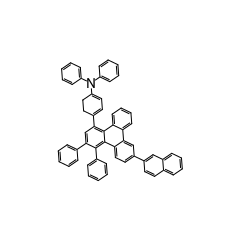 C1=C(c2cc(-c3ccccc3)c(-c3ccccc3)c3c4ccc(-c5ccc6ccccc6c5)cc4c4ccccc4c23)CCC(N(c2ccccc2)c2ccccc2)=C1